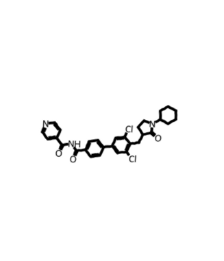 O=C(NC(=O)c1ccc(-c2cc(Cl)c(CC3CCN(C4CCCCC4)C3=O)c(Cl)c2)cc1)c1ccncc1